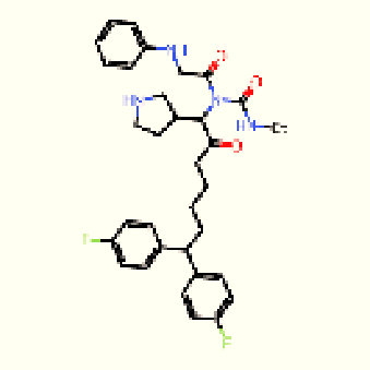 CCNC(=O)N(C(=O)CNc1ccccc1)C(C(=O)CCCCC(c1ccc(F)cc1)c1ccc(F)cc1)C1CCNC1